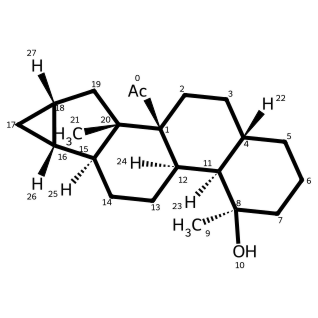 CC(=O)[C@@]12CC[C@@H]3CCC[C@@](C)(O)[C@H]3[C@H]1CC[C@H]1[C@@H]3C[C@@H]3C[C@@]12C